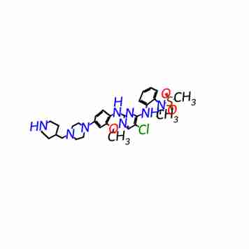 COc1cc(N2CCN(CC3CCNCC3)CC2)ccc1Nc1ncc(Cl)c(Nc2ccccc2N(C)S(C)(=O)=O)n1